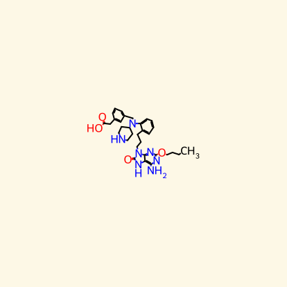 CCCCOc1nc(N)c2[nH]c(=O)n(CCCc3ccccc3N(Cc3cccc(CC(=O)O)c3)C3CCNCC3)c2n1